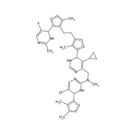 CC1=NC=C(F)C(c2scc(C)c2CCc2csc(C3NC=NC(CN(C)C4=NC=C(Cl)C(c5scc(C)c5C)N4)=C3C3CC3)c2C)N1